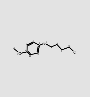 COc1ccc(SCCCCCl)cc1